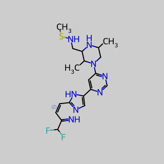 CSNCC1NC(C)CN(c2cc(-c3cnc(/C=C\C(=N)C(F)F)[nH]3)ncn2)C1C